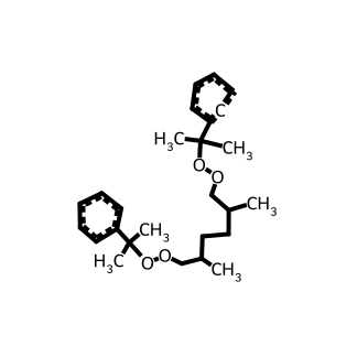 CC(CCC(C)COOC(C)(C)c1ccccc1)COOC(C)(C)c1ccccc1